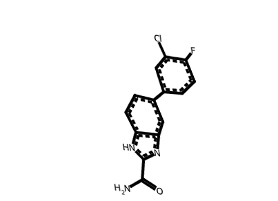 NC(=O)c1nc2cc(-c3ccc(F)c(Cl)c3)ccc2[nH]1